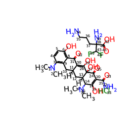 CN(C)c1ccc(O)c2c1C[C@H]1C[C@H]3[C@H](N(C)C)C(O)=C(C(N)=O)C(=O)[C@@]3(O)C(O)=C1C2=O.Cl.NCCCC(N)(C(=O)O)C(F)F